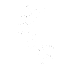 CC(C)CN(c1ccnc(N[C@@H](C)c2cc3cc(Cl)cc(F)c3[nH]c2=O)n1)S(C)(=O)=O